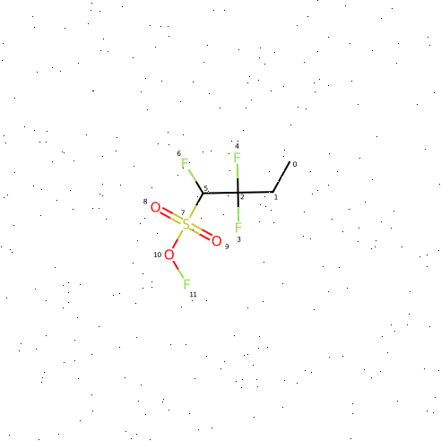 CCC(F)(F)C(F)S(=O)(=O)OF